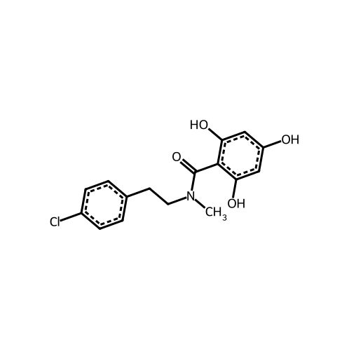 CN(CCc1ccc(Cl)cc1)C(=O)c1c(O)cc(O)cc1O